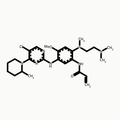 C=CC(=O)Nc1cc(Nc2ncc(Cl)c(N3CCCCC3C)n2)c(OC)cc1N(C)CCN(C)C